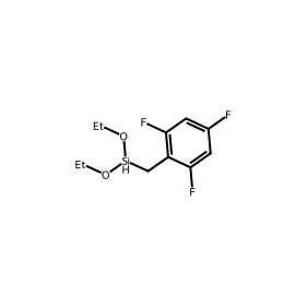 CCO[SiH](Cc1c(F)cc(F)cc1F)OCC